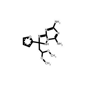 COC(CC1(c2ccco2)N=C2N=C(N)N=C(N)N2N1)OC